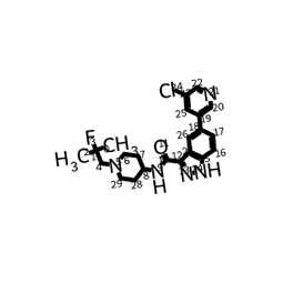 CC(C)(F)CN1CCC(NC(=O)c2n[nH]c3ccc(-c4cncc(Cl)c4)cc23)CC1